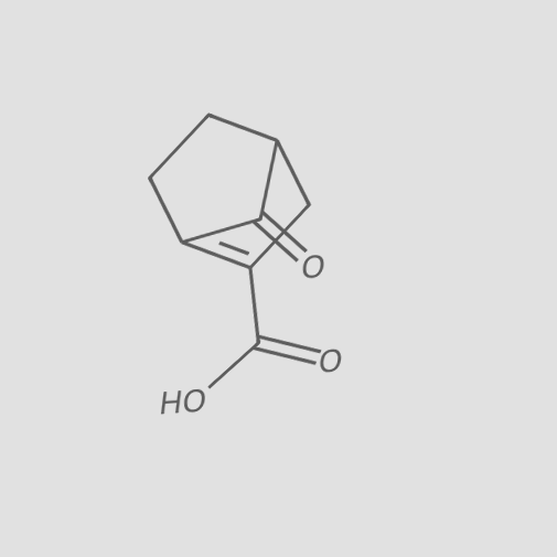 O=C(O)C1=C2CCC(C1)C2=O